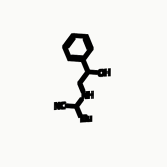 CCC(C)C(C#N)NCC(O)c1ccccc1